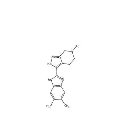 CC(=O)N1CCc2c(n[nH]c2-c2nc3cc(C)c(C)cc3[nH]2)C1